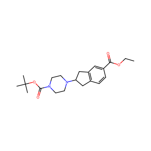 CCOC(=O)c1ccc2c(c1)CC(N1CCN(C(=O)OC(C)(C)C)CC1)C2